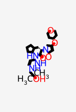 CC(C)(O)CN/C=C\C(=N)NC(=O)[C@H](CC1CCCC1)N1CC(OC2CCOCC2)=CC1=O